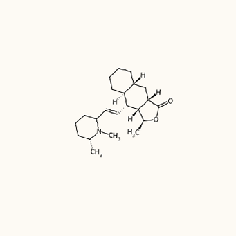 C[C@@H]1OC(=O)[C@H]2C[C@H]3CCCC[C@@H]3[C@@H](C=CC3CCC[C@@H](C)N3C)[C@@H]12